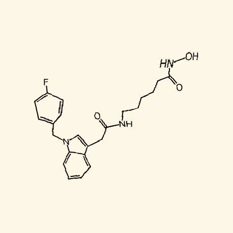 O=C(CCCCCNC(=O)Cc1cn(Cc2ccc(F)cc2)c2ccccc12)NO